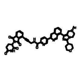 CC(=O)N1CCn2c(C3CCOCC3)nc(-c3cccc4cc(-c5ccc(C(=O)NCC#Cc6cccc7c6C(=O)N(C6CCC(=O)NC6=O)C7=O)nc5)ncc34)c2C1